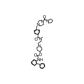 CN(CCN1CCC(OC(=O)Nc2ccccc2-c2ccccc2)CC1)C(=O)c1ccc(CN2CCN(C(=O)N3CCCC3)CC2)cc1